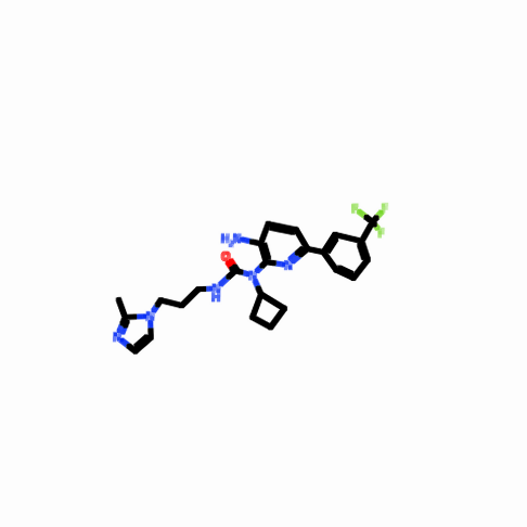 Cc1nccn1CCCNC(=O)N(c1nc(-c2cccc(C(F)(F)F)c2)ccc1N)C1CCC1